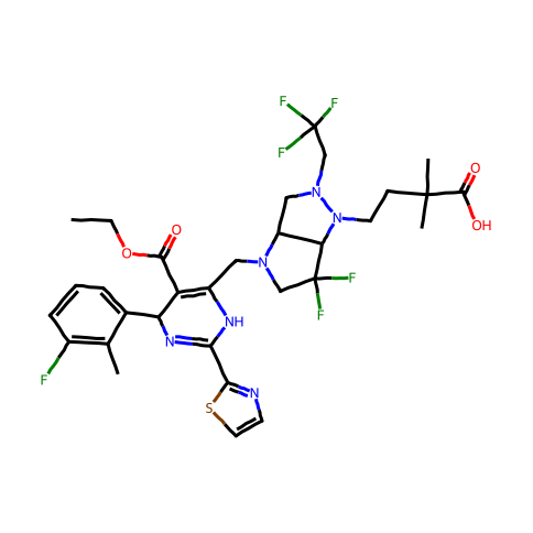 CCOC(=O)C1=C(CN2CC(F)(F)C3C2CN(CC(F)(F)F)N3CCC(C)(C)C(=O)O)NC(c2nccs2)=NC1c1cccc(F)c1C